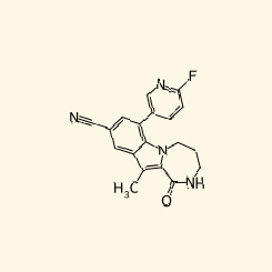 Cc1c2n(c3c(-c4ccc(F)nc4)cc(C#N)cc13)CCCNC2=O